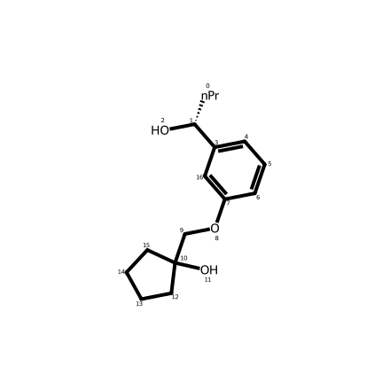 CCC[C@@H](O)c1cccc(OCC2(O)CCCC2)c1